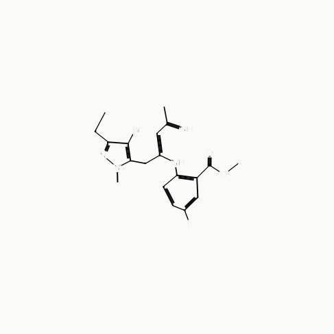 CCc1nn(C)c(C/C(=C/C(C)=N)Nc2ccc(F)cc2C(=O)OC)c1Br